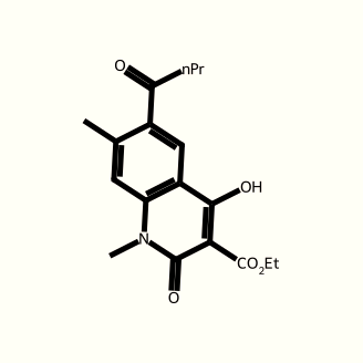 CCCC(=O)c1cc2c(O)c(C(=O)OCC)c(=O)n(C)c2cc1C